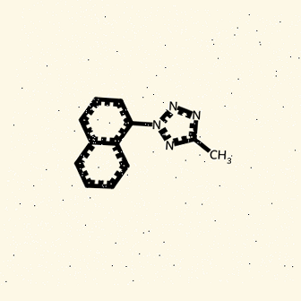 Cc1nnn(-c2cccc3ccccc23)n1